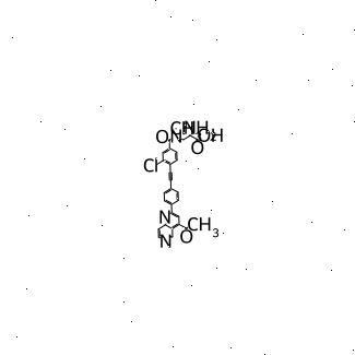 CC(=O)c1cc(-c2ccc(C#Cc3ccc(C(=O)N(C)CC(N)C(=O)O)cc3Cl)cc2)nc2ccncc12